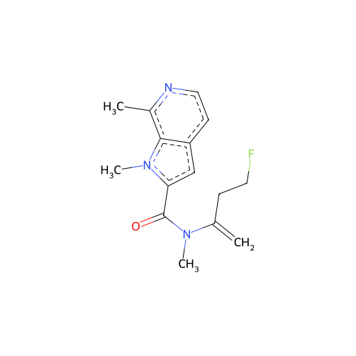 C=C(CCF)N(C)C(=O)c1cc2ccnc(C)c2n1C